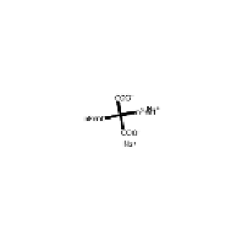 CCCCCC(CCCCC)(C(=O)[O-])C(=O)[O-].[Na+].[Na+]